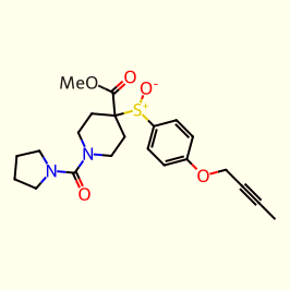 CC#CCOc1ccc([S+]([O-])C2(C(=O)OC)CCN(C(=O)N3CCCC3)CC2)cc1